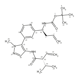 C=CC[C@H](NC(=O)OC(C)(C)C)c1cc(-c2c(NC(=O)[C@H](C=C)C(C)C)cnn2C)ccn1